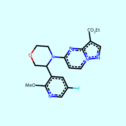 CCOC(=O)c1cnn2ccc(N3CCOCC3c3cc(F)cnc3OC)nc12